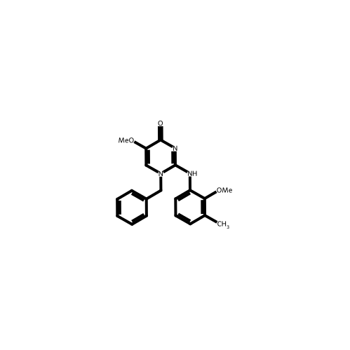 COc1c(C)cccc1Nc1nc(=O)c(OC)cn1Cc1ccccc1